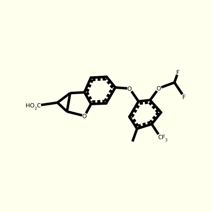 Cc1cc(Oc2ccc3c(c2)OC2C(C(=O)O)C32)c(OC(F)F)cc1C(F)(F)F